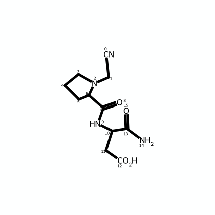 N#CCN1CCCC1C(=O)NC(CC(=O)O)C(N)=O